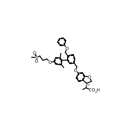 Cc1cc(OCCCS(C)(=O)=O)cc(C)c1-c1cc(COc2ccc3c(c2)OC[C@H]3C(C)C(=O)O)ccc1COc1ccccc1